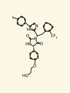 O=C1N[C@H](c2ccc(OCCO)cc2)C(=O)N1C(Cc1ccccc1C(F)(F)F)c1ncc(-c2ccc(I)cc2)[nH]1